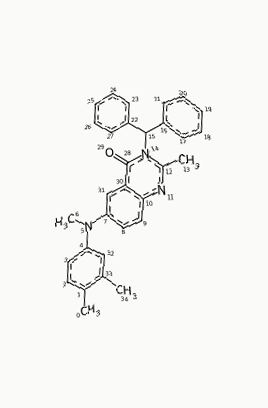 Cc1ccc(N(C)c2ccc3nc(C)n(C(c4ccccc4)c4ccccc4)c(=O)c3c2)cc1C